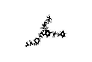 CC(C)OC(=O)N[C@H]1CC[C@H](c2ncc(-c3ccc(NC(=O)NCc4ccccc4)cc3S(=O)(=O)NC(C)(C)CO[Si](C)(C)C(C)(C)C)s2)CC1